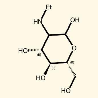 CCNC1C(O)O[C@H](CO)[C@@H](O)[C@@H]1O